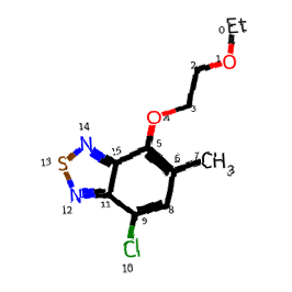 CCOCCOc1c(C)cc(Cl)c2nsnc12